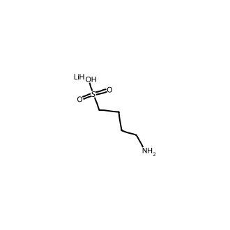 NCCCCS(=O)(=O)O.[LiH]